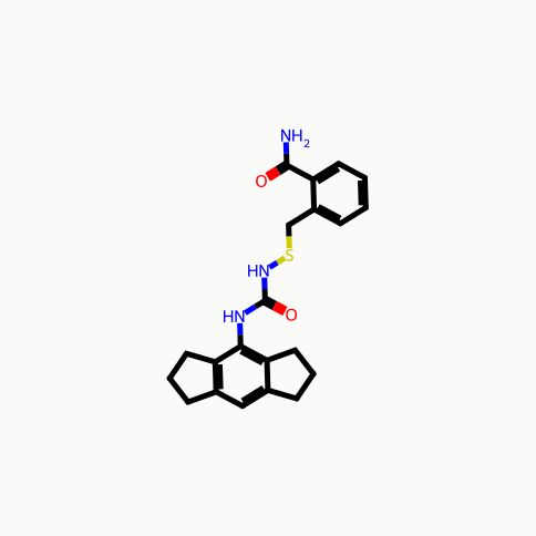 NC(=O)c1ccccc1CSNC(=O)Nc1c2c(cc3c1CCC3)CCC2